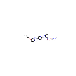 C=Cc1[nH]c(-c2ccc(-c3nc4cc(OCCCC(=O)O)ccc4[nH]3)cc2)nc1/C=C(\C)OCCCN(C)C